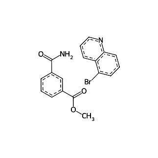 Brc1cccc2ncccc12.COC(=O)c1cccc(C(N)=O)c1